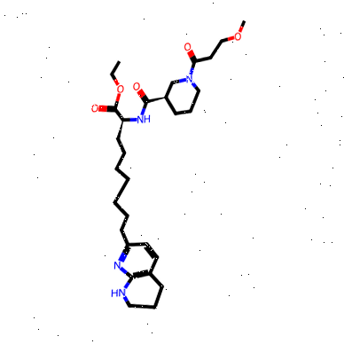 CCOC(=O)[C@H](CCCCCCCc1ccc2c(n1)NCCC2)NC(=O)[C@@H]1CCCN(C(=O)CCOC)C1